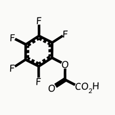 O=C(O)C(=O)Oc1c(F)c(F)c(F)c(F)c1F